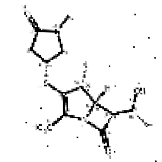 C[C@@H](O)[C@H]1C(=O)N2C(C(=O)O)=C(S[C@@H]3CC(=O)N(C)C3)[C@H](C)[C@H]12